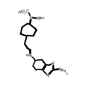 CC(C)(C)N(C(=O)O)C1CCC(CCNC2CCc3nc(N)sc3C2)CC1